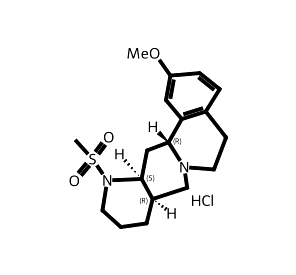 COc1ccc2c(c1)[C@H]1C[C@H]3[C@H](CCCN3S(C)(=O)=O)CN1CC2.Cl